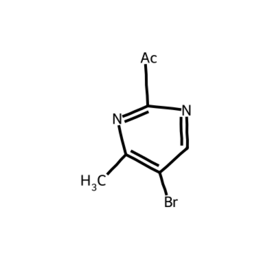 CC(=O)c1ncc(Br)c(C)n1